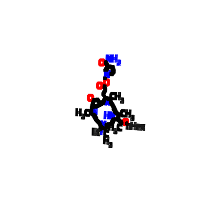 CCCCCCOC(C)c1c(C)c2cc3nc(c4c5nc(cc6[nH]c(cc1[nH]2)c(C)c6CC)C(C)=C5C(=O)C4)[C@@H](CCC(=O)OC[n+]1cccc(C(N)=O)c1)C3C